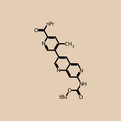 CCCC(=O)c1cc(C)c(-c2cnc3cc(NC(=O)OC(C)(C)C)ncc3c2)cn1